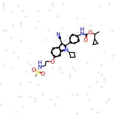 CC(OC(=O)Nc1ccc(-c2c(C#N)c3ccc(OCCNS(C)(=O)=O)cc3n2C2CCC2)cc1)C1CC1